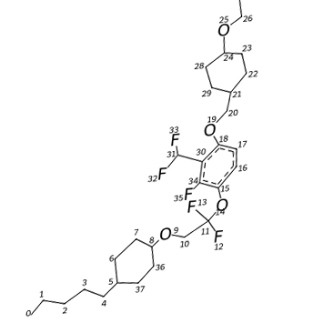 CCCCCC1CCC(OCC(F)(F)Oc2ccc(OCC3CCC(OCC)CC3)c(C(F)F)c2F)CC1